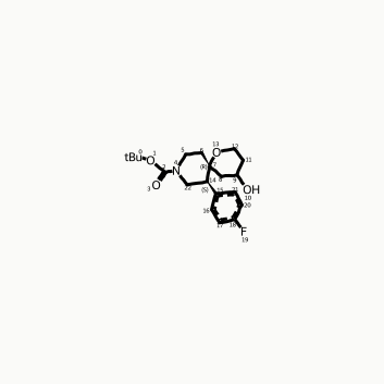 CC(C)(C)OC(=O)N1CC[C@@]2(CC(O)CCO2)[C@@H](c2ccc(F)cc2)C1